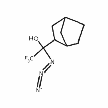 [N-]=[N+]=NC(O)(C1CC2CCC1C2)C(F)(F)F